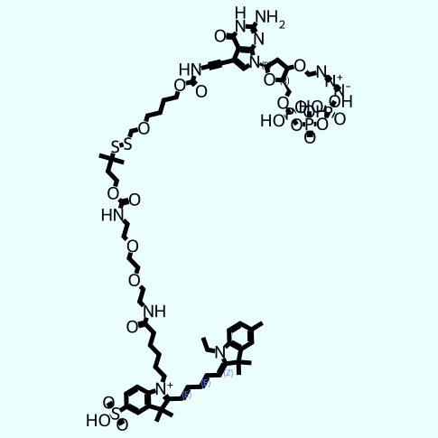 CCN1\C(=C/C=C/C=C/C2=[N+](CCCCCC(=O)NCCOCCOCCNC(=O)OCCC(C)(C)SSCOCCCCOC(=O)NC#Cc3cn([C@H]4CC(OCN=[N+]=[N-])[C@@H](COP(=O)(O)OP(=O)(O)OP(=O)(O)O)O4)c4nc(N)[nH]c(=O)c34)c3ccc(S(=O)(=O)O)cc3C2(C)C)C(C)(C)c2cc(C)ccc21